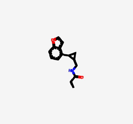 CCC(=O)NCC1CC1c1cccc2occc12